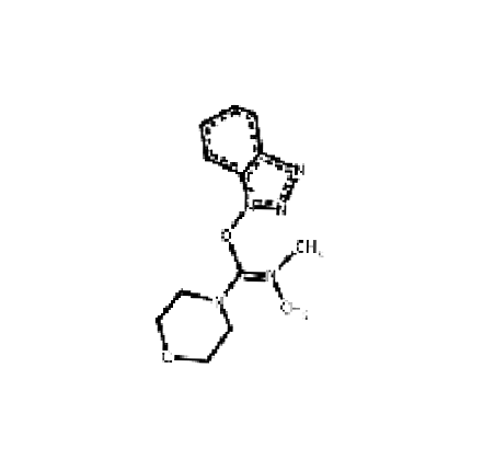 C[N+](C)=C(On1nnc2ccccc21)N1CCOCC1